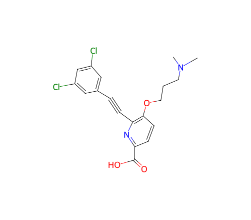 CN(C)CCCOc1ccc(C(=O)O)nc1C#Cc1cc(Cl)cc(Cl)c1